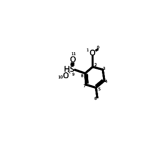 COC1CC=C(C)C=C1[SH](=O)=O